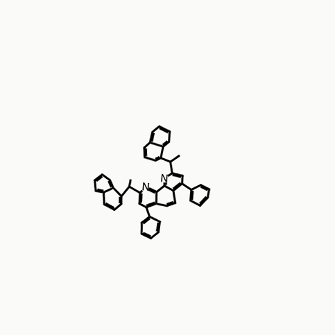 CC(c1cc(-c2ccccc2)c2ccc3c(-c4ccccc4)cc(C(C)c4cccc5ccccc45)nc3c2n1)c1cccc2ccccc12